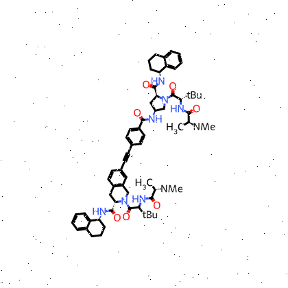 CN[C@@H](C)C(=O)NC(C(=O)N1Cc2cc(C#Cc3ccc(C(=O)N[C@H]4C[C@@H](C(=O)N[C@@H]5CCCc6ccccc65)N(C(=O)[C@@H](NC(=O)[C@H](C)NC)C(C)(C)C)C4)cc3)ccc2C[C@H]1C(=O)N[C@@H]1CCCc2ccccc21)C(C)(C)C